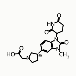 Cn1c(=O)n(C2CCC(=O)NC2=O)c2ccc([C@H]3CCN(CC(=O)O)C3)cc21